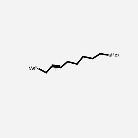 CCCCCCCCCCC/C=C/CNC